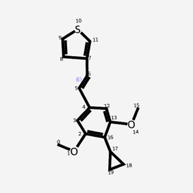 COc1cc(/C=C/c2ccsc2)cc(OC)c1C1CC1